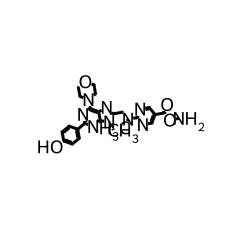 CN(Cc1nc2c(N3CCOCC3)nc(-c3ccc(O)cc3)nc2n1C)c1ncc(C(=O)ON)cn1